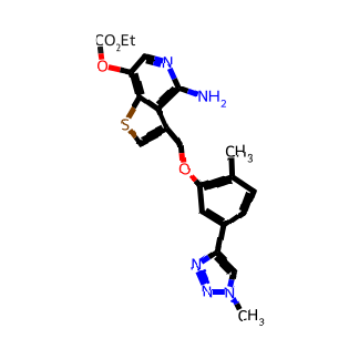 CCOC(=O)Oc1cnc(N)c2c(COc3cc(-c4cn(C)nn4)ccc3C)csc12